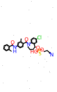 Cc1ccccc1C(=O)Nc1ccc(C(=O)N2CCCC(OP(O)(=S)OCCC#N)c3cc(Cl)ccc32)c(C)c1